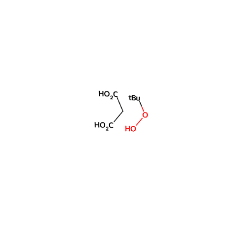 CC(C)(C)OO.O=C(O)CC(=O)O